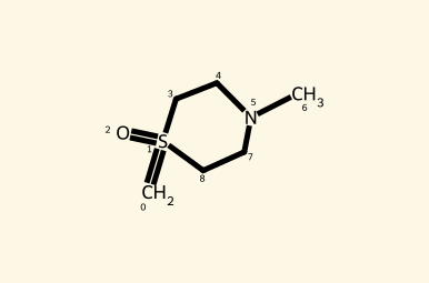 C=S1(=O)CCN(C)CC1